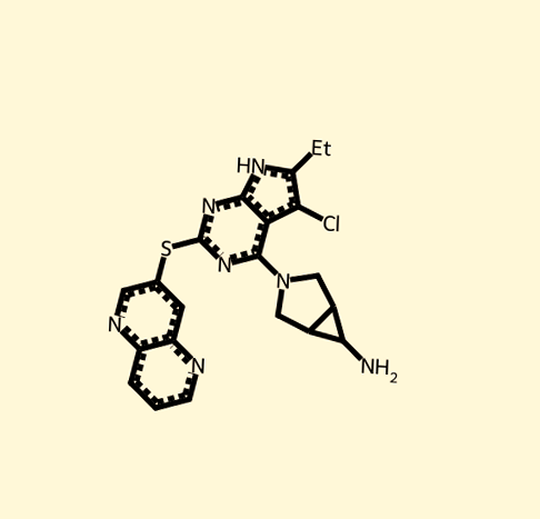 CCc1[nH]c2nc(Sc3cnc4cccnc4c3)nc(N3CC4C(N)C4C3)c2c1Cl